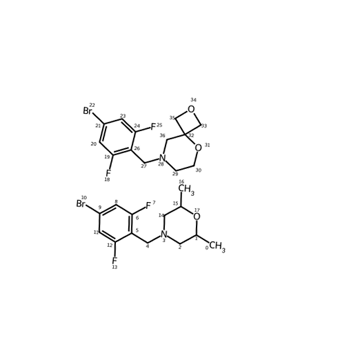 CC1CN(Cc2c(F)cc(Br)cc2F)CC(C)O1.Fc1cc(Br)cc(F)c1CN1CCOC2(COC2)C1